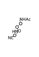 CC(=O)NCc1cccc(-c2cccc(C(=O)NCc3ccc(C#N)cc3)c2)c1